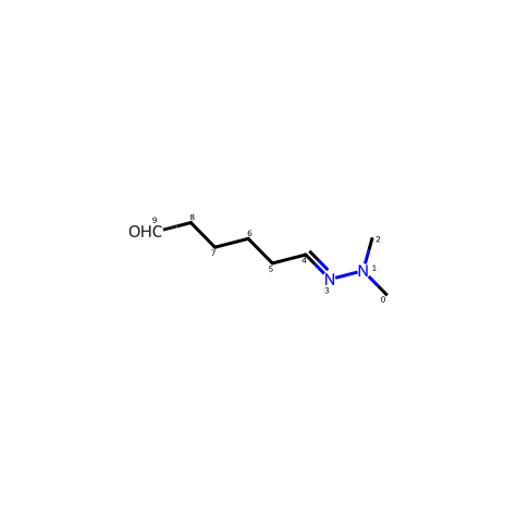 CN(C)/N=C/CCCCC=O